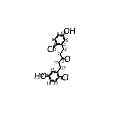 O=C(CCc1cc(O)ccc1Cl)CCc1cc(O)ccc1Cl